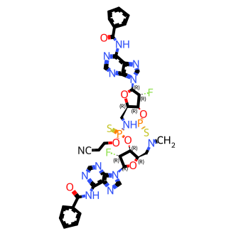 C=NC[C@H]1O[C@@H](n2cnc3c(NC(=O)c4ccccc4)ncnc32)[C@H](F)[C@@H]1OP(=S)(NC[C@H]1O[C@@H](n2cnc3c(NC(=O)c4ccccc4)ncnc32)[C@H](F)[C@@H]1OP=S)OCCC#N